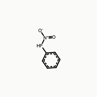 O=[N+]([O-])Pc1ccccc1